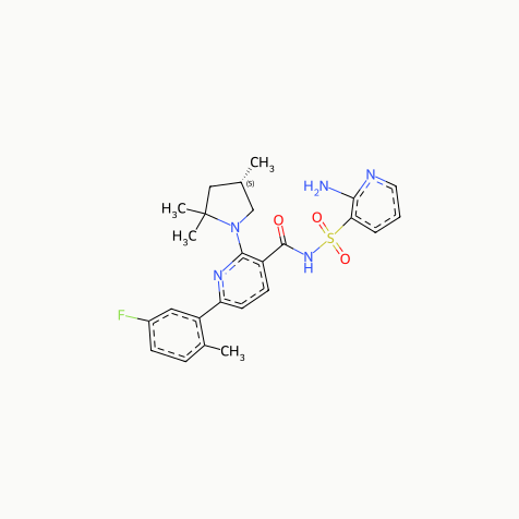 Cc1ccc(F)cc1-c1ccc(C(=O)NS(=O)(=O)c2cccnc2N)c(N2C[C@@H](C)CC2(C)C)n1